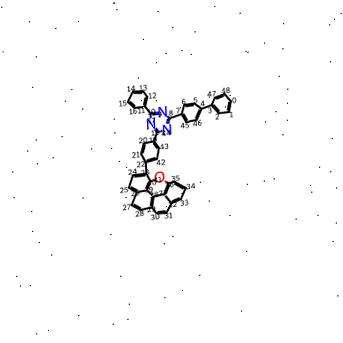 c1ccc(-c2ccc(-c3nc(-c4ccccc4)nc(-c4ccc(-c5ccc6ccc7ccc8cccc9c8c7c6c5O9)cc4)n3)cc2)cc1